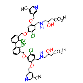 N#Cc1cncc(COc2cc(OCc3cccc(-c4cccc(COc5cc(OCc6cncc(C#N)c6)c(CNC[C@@H](O)CC(=O)O)cc5Cl)c4Br)c3Br)c(Cl)cc2CNC[C@@H](O)CC(=O)O)c1